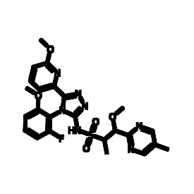 COc1cccc(-c2nnc(NS(=O)(=O)C(C)C(OC)c3ncc(C)cn3)n2-c2c(F)cccc2OC)n1